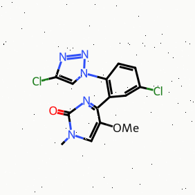 COc1cn(C)c(=O)nc1-c1cc(Cl)ccc1-n1cc(Cl)nn1